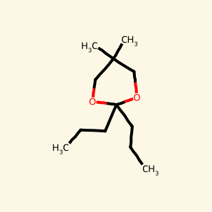 CCCC1(CCC)OCC(C)(C)CO1